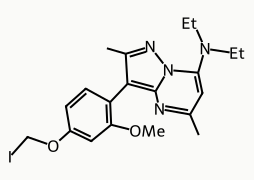 CCN(CC)c1cc(C)nc2c(-c3ccc(OCI)cc3OC)c(C)nn12